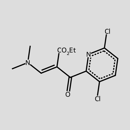 CCOC(=O)/C(=C\N(C)C)C(=O)c1nc(Cl)ccc1Cl